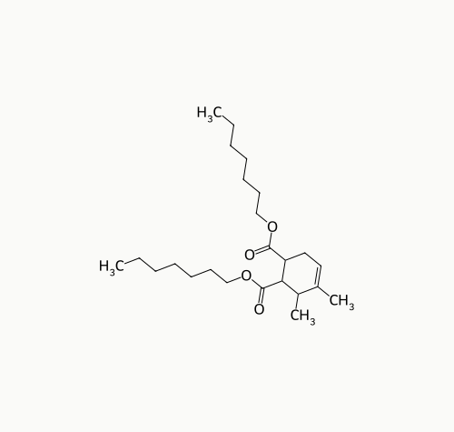 CCCCCCCOC(=O)C1CC=C(C)C(C)C1C(=O)OCCCCCCC